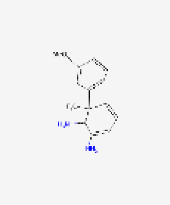 COc1cccc(C2(C(F)(F)F)C=CC=C(N)C2N)c1